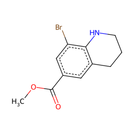 COC(=O)c1cc(Br)c2c(c1)CCCN2